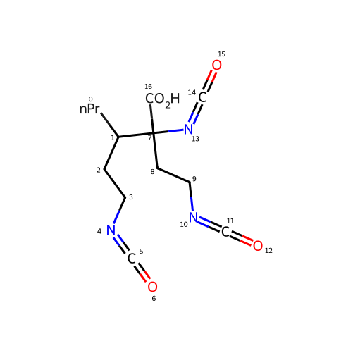 CCCC(CCN=C=O)C(CCN=C=O)(N=C=O)C(=O)O